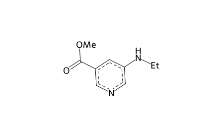 CCNc1cncc(C(=O)OC)c1